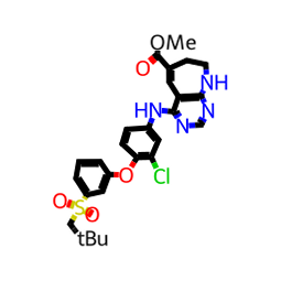 COC(=O)C1=Cc2c(ncnc2Nc2ccc(Oc3cccc(S(=O)(=O)CC(C)(C)C)c3)c(Cl)c2)NCC1